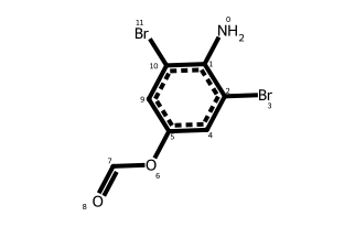 Nc1c(Br)cc(OC=O)cc1Br